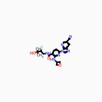 CC(C)(O)C(F)CNC(=O)c1ccc(-n2cnc3cc(C#N)cnc32)nc1NC1COC1